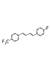 Fc1ccc(C=CC=Cc2ccc(C(F)(F)F)cc2)cc1